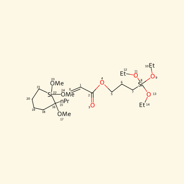 C=CC(=O)OCCC[Si](OCC)(OCC)OCC.CCCC1(OC)CCCC[Si]1(OC)OC